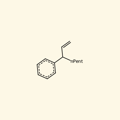 C=CC(CCCCC)c1ccccc1